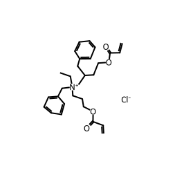 C=CC(=O)OCCC[N+](CC)(Cc1ccccc1)CC(CCOC(=O)C=C)Cc1ccccc1.[Cl-]